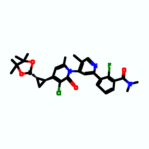 Cc1cnc(-c2cccc(C(=O)N(C)C)c2F)cc1-n1c(C)cc([C@H]2C[C@@H]2B2OC(C)(C)C(C)(C)O2)c(Cl)c1=O